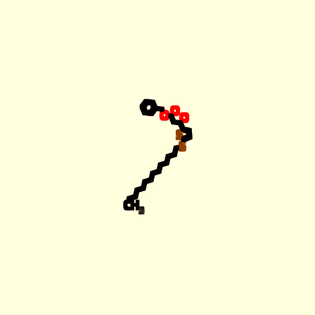 CCCCCCCCCCCCCCSc1ccc(C(=O)CC(=O)OCc2ccccc2)s1